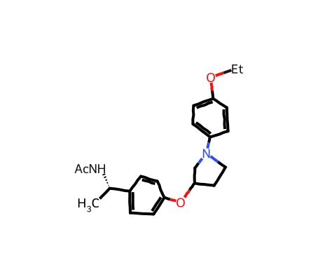 CCOc1ccc(N2CCC(Oc3ccc([C@H](C)NC(C)=O)cc3)C2)cc1